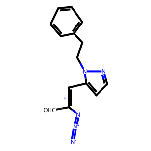 [N-]=[N+]=N/C(C=O)=C\c1ccnn1CCc1ccccc1